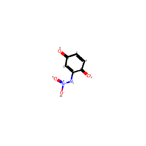 O=C1C=CC(=O)C([N][N+](=O)[O-])=C1